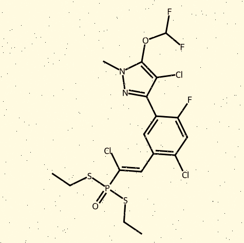 CCSP(=O)(SCC)C(Cl)=Cc1cc(-c2nn(C)c(OC(F)F)c2Cl)c(F)cc1Cl